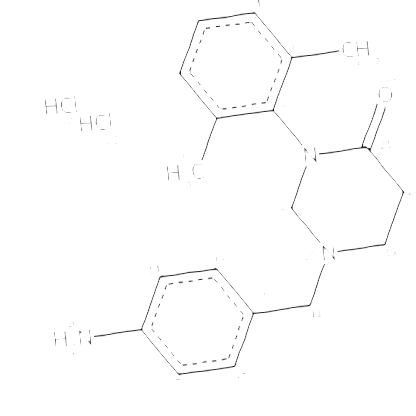 Cc1cccc(C)c1N1CN(Cc2ccc(N)cc2)CCC1=O.Cl.Cl